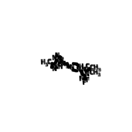 Cc1cn[nH]c1C1=NN=C[N+]1(C)SCCCN1CCCN(c2cc(C(F)(F)F)nc(C(C)(C)C)n2)CC1